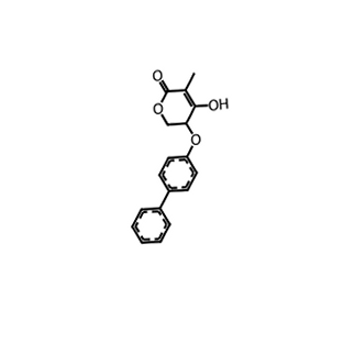 CC1=C(O)C(Oc2ccc(-c3ccccc3)cc2)COC1=O